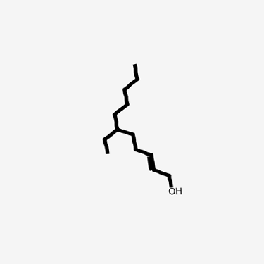 CCCCCC(CC)CCC=CCO